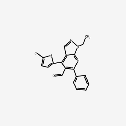 CCn1ncc2c(-c3ccc(Cl)s3)c(C=O)c(-c3ccccc3)nc21